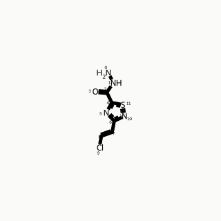 NNC(=O)c1nc(C=CCl)ns1